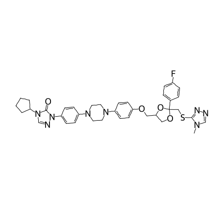 Cn1cnnc1SCC1(c2ccc(F)cc2)OCC(COc2ccc(N3CCN(c4ccc(-n5ncn(C6CCCC6)c5=O)cc4)CC3)cc2)O1